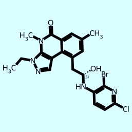 CCn1ncc2c3c(C[C@H](O)Nc4ccc(Cl)nc4Br)cc(C)cc3c(=O)n(C)c21